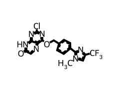 Cn1cc(C(F)(F)F)nc1-c1ccc(COc2nc(Cl)nc3[nH]c(=O)cnc23)cc1